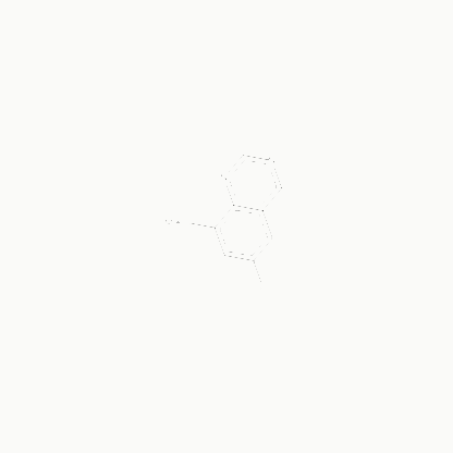 COc1cc(C(=O)O)cc2cncnc12